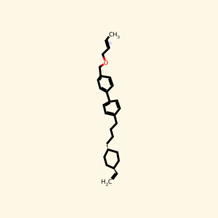 C=C[C@H]1CC[C@H](CCCCc2ccc(-c3ccc(COC/C=C/C)cc3)cc2)CC1